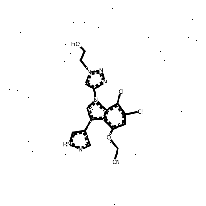 N#CCOc1cc(Cl)c(Cl)c2c1c(-c1cn[nH]c1)cn2-c1cn(CCO)nn1